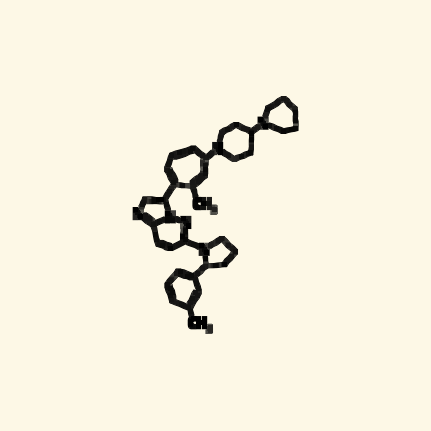 CC1=C=C(N2CCC(N3CCCCC3)CC2)C=CC=C1c1cnc2ccc(N3CCCC3c3cccc(C)c3)nn12